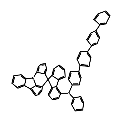 c1ccc(-c2ccc(-c3ccc(-c4ccc(N(c5ccccc5)c5cccc6c5-c5ccccc5C65c6ccccc6-n6c7ccccc7c7cccc5c76)cc4)cc3)cc2)cc1